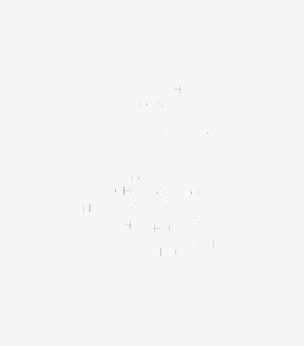 C[S+]([O-])c1cc(=O)c2cc(OC(=O)OC(C)(C)C)c(OC(=O)OC(C)(C)C)cc2s1